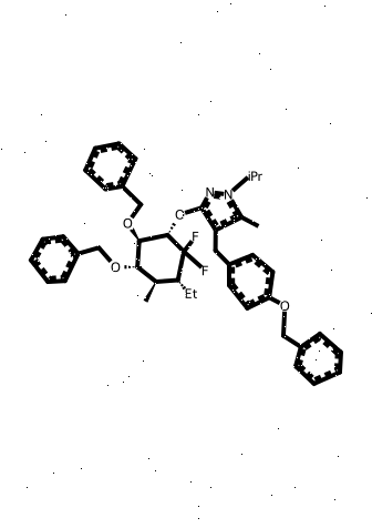 CC[C@@H]1[C@@H](C)[C@H](OCc2ccccc2)[C@@H](OCc2ccccc2)[C@H](Oc2nn(C(C)C)c(C)c2Cc2ccc(OCc3ccccc3)cc2)C1(F)F